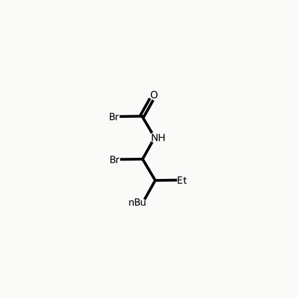 CCCCC(CC)C(Br)NC(=O)Br